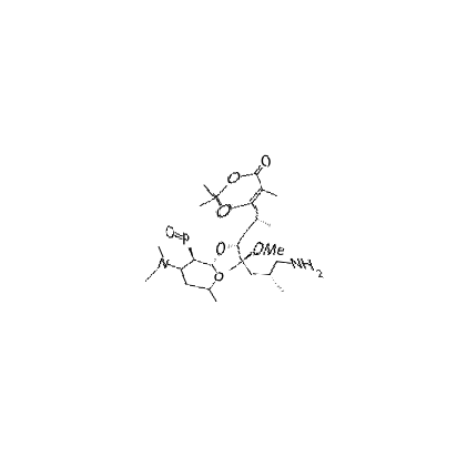 CO[C@](C)(C[C@@H](C)CN)[C@H](O[C@@H]1OC(C)CC(N(C)C)[C@H]1P=O)[C@@H](C)C1=C(C)C(=O)OC(C)(C)O1